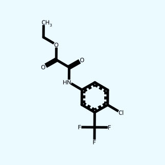 CCOC(=O)C(=O)Nc1ccc(Cl)c(C(F)(F)F)c1